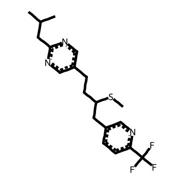 CSC(CCc1cnc(CC(C)C)nc1)Cc1ccc(C(F)(F)F)nc1